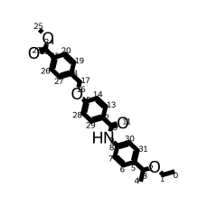 CCOC(C)c1ccc(NC(=O)c2ccc(OCc3ccc(C(=O)OC)cc3)cc2)cc1